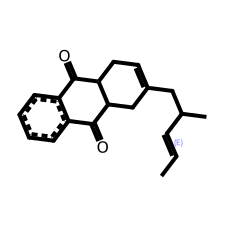 C/C=C/C(C)CC1=CCC2C(=O)c3ccccc3C(=O)C2C1